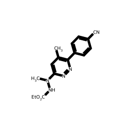 CCOC(=O)NN(C)c1cc(C)c(-c2ccc(C#N)cc2)nn1